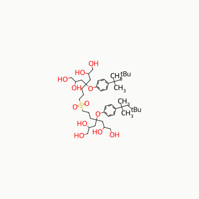 CC(C)(C)CC(C)(C)c1ccc(OC(CCCS(=O)(=O)CCCC(CC(O)CO)(CC(O)CO)Oc2ccc(C(C)(C)CC(C)(C)C)cc2)(CC(O)CO)CC(O)CO)cc1